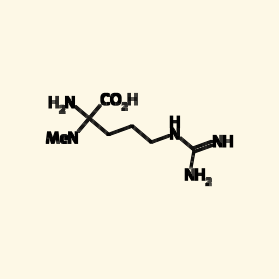 CNC(N)(CCCNC(=N)N)C(=O)O